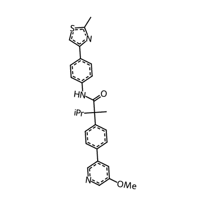 COc1cncc(-c2ccc(C(C)(C(=O)Nc3ccc(-c4csc(C)n4)cc3)C(C)C)cc2)c1